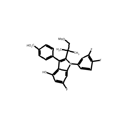 COCC(C)(C)c1c(-c2ccc(C(=O)O)cc2)c2c(O)cc(F)cc2n1-c1ccc(F)c(F)c1